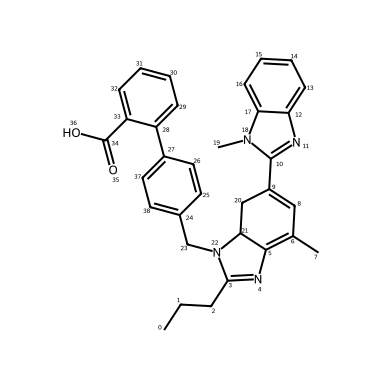 CCCC1=NC2=C(C)C=C(c3nc4ccccc4n3C)CC2N1Cc1ccc(-c2ccccc2C(=O)O)cc1